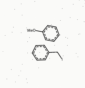 COc1cc[c]cc1.ICc1cc[c]cc1